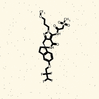 CS(=O)(=O)CC(=O)Nc1c2c(nn1CCCOC(F)(F)F)C[C@@]1(CCc3cc(OCC(F)(F)C(F)F)ccc31)NC2=O